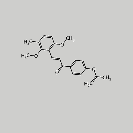 C=C(C)Oc1ccc(C(=O)C=Cc2c(OC)ccc(C)c2OC)cc1